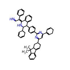 CC1(C)c2ccccc2C2=CCC(c3cc(C4=CCCC=C4)nc(-c4ccc(C5c6ccccc6/C(=C(/C=N)c6ccccc6)NC5C5C=CC=CC5)cc4)n3)CC21